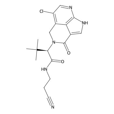 CC(C)(C)[C@H](C(=O)NCCC#N)N1Cc2c(Cl)cnc3[nH]cc(c23)C1=O